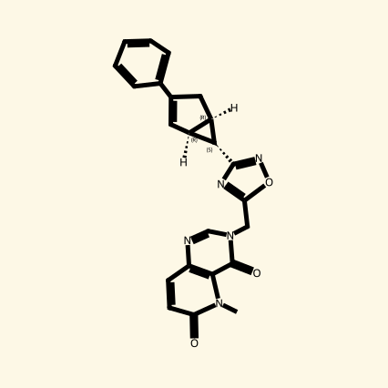 Cn1c(=O)ccc2ncn(Cc3nc([C@@H]4[C@H]5C=C(c6ccccc6)C[C@H]54)no3)c(=O)c21